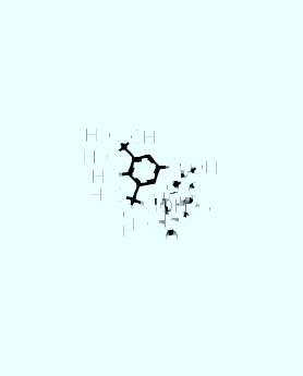 CC(C)(C)c1cc(OP(=O)(O)OP(=O)(O)OP(=O)(O)O)cc(C(C)(C)C)c1O